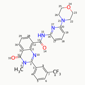 Cn1c(-c2cccc(C(F)(F)F)c2)nc2c(C(=O)Nc3cccc(N4CCOCC4)n3)cccc2c1=O